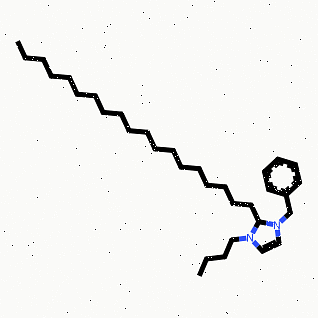 CCCCCCCCCCCCCCCCCCCC1N(CCCC)C=CN1Cc1ccccc1